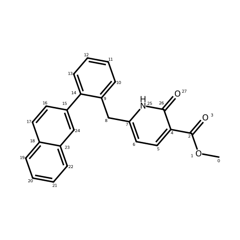 COC(=O)c1ccc(Cc2ccccc2-c2ccc3ccccc3c2)[nH]c1=O